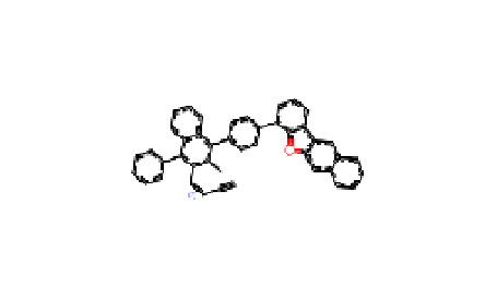 C#C/C=C\c1c(C)c(-c2ccc(-c3cccc4c3oc3cc5ccccc5cc34)cc2)c2ccccc2c1-c1ccccc1